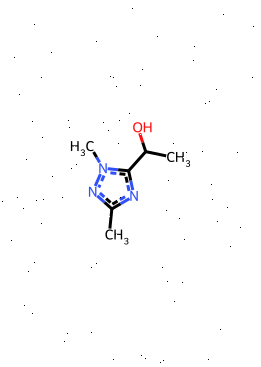 Cc1nc(C(C)O)n(C)n1